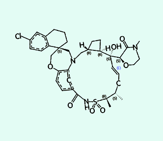 C[C@@H]1[C@@H](C)C/C=C/[C@](O)([C@@H]2OCCN(C)C2=O)[C@@H]2CC[C@H]2CN2C[C@@]3(CCCc4cc(Cl)ccc43)COc3ccc(cc32)C(=O)NS1(=O)=O